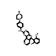 COc1cccc(F)c1-c1nc2cnc(Nc3ccc(N4CCN(C)CC4)cc3)nc2c2cnccc12